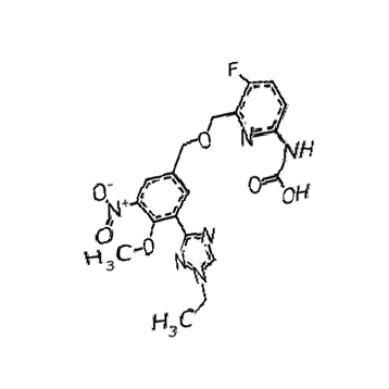 CCn1cnc(-c2cc(COCc3nc(NC(=O)O)ccc3F)cc([N+](=O)[O-])c2OC)n1